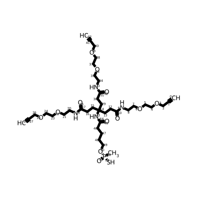 C#CCOCCOCCNC(=O)CCC(CCC(=O)NCCOCCOCC#C)(CCC(=O)NCCOCCOCC#C)NC(=O)CCCCOP(C)(=O)S